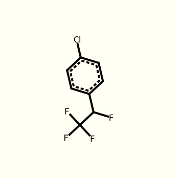 FC(c1ccc(Cl)cc1)C(F)(F)F